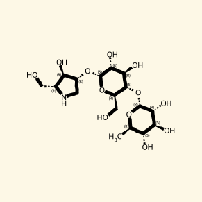 C[C@H]1O[C@H](O[C@H]2[C@H](O)[C@@H](O)[C@@H](O[C@@H]3CN[C@H](CO)[C@H]3O)O[C@@H]2CO)[C@H](O)[C@@H](O)[C@@H]1O